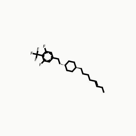 CC/C=C/CCCC[C@H]1CC[C@H](CCc2cc(F)c(C(F)(F)F)c(F)c2)CC1